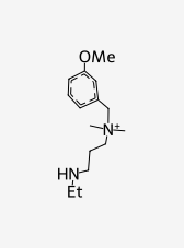 CCNCCC[N+](C)(C)Cc1cccc(OC)c1